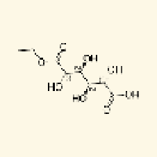 CCOC(=O)[C@@H](O)[C@@H](O)[C@H](O)[C@H](O)C(=O)O